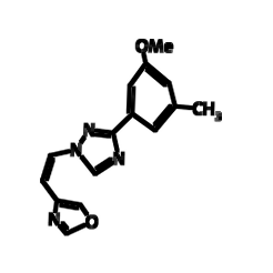 COc1cc(C)cc(-c2ncn(/C=C\c3cocn3)n2)c1